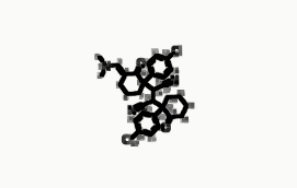 CN(C)C=C1CCCC(c2ccc(Cl)cc2)(C(C#N)C(C#N)C2(c3ccc(Cl)cc3)CCCCC2=O)C1=O